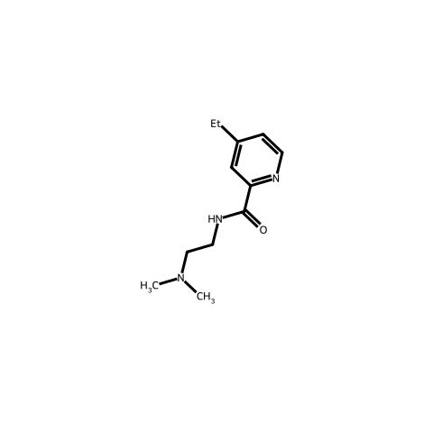 CCc1ccnc(C(=O)NCCN(C)C)c1